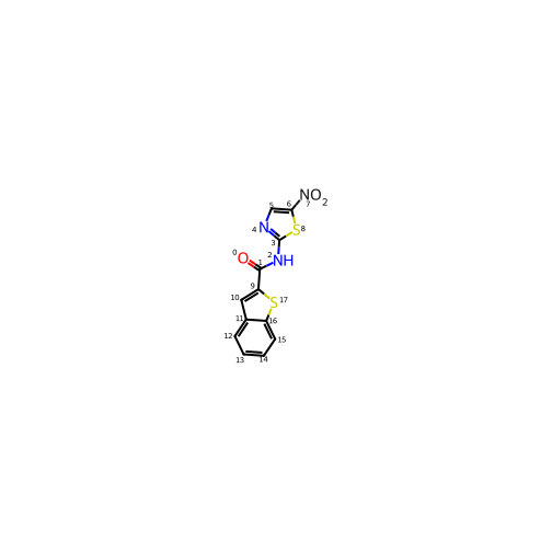 O=C(Nc1ncc([N+](=O)[O-])s1)c1cc2ccccc2s1